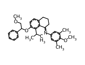 COCC(Oc1ccc2c(c1C(C)C)/C(=N/c1cc(C)c(OC)c(C)c1)CCC2)c1ccccc1